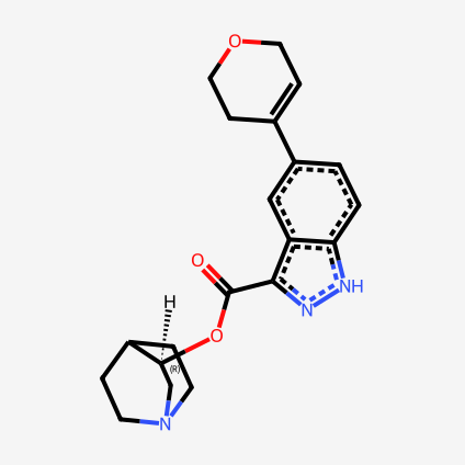 O=C(O[C@H]1CN2CCC1CC2)c1n[nH]c2ccc(C3=CCOCC3)cc12